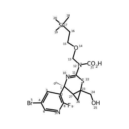 C[C@]1(c2cc(Br)cnc2F)N=C(N(COCC[Si](C)(C)C)C(=O)O)SC2(CO)CC21